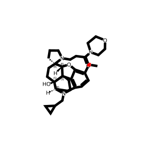 COc1ccc2c3c1O[C@H]1[C@@]4(CCCN4CCC(=O)N4CCOCC4)CC[C@@]4(O)[C@@H](C2)N(CC2CC2)CC[C@]314